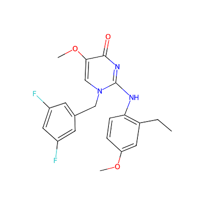 CCc1cc(OC)ccc1Nc1nc(=O)c(OC)cn1Cc1cc(F)cc(F)c1